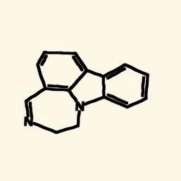 C1=NCCn2c3ccccc3c3cccc1c32